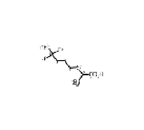 CCCC(F)(F)CCCSC(C(=O)O)C(C)(C)C